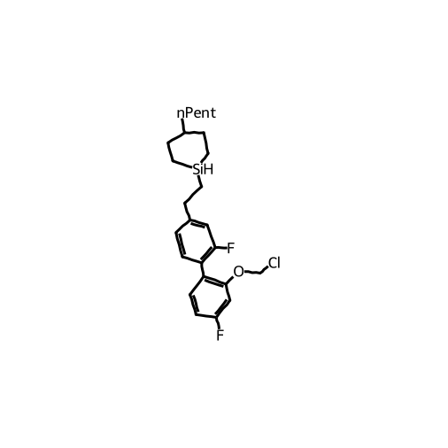 CCCCCC1CC[SiH](CCc2ccc(-c3ccc(F)cc3OCCl)c(F)c2)CC1